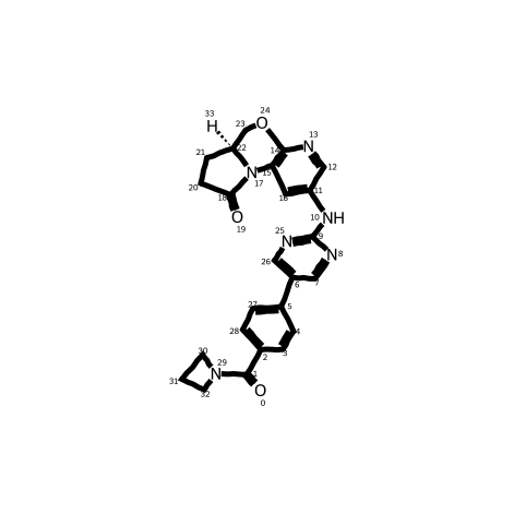 O=C(c1ccc(-c2cnc(Nc3cnc4c(c3)N3C(=O)CC[C@H]3CO4)nc2)cc1)N1CCC1